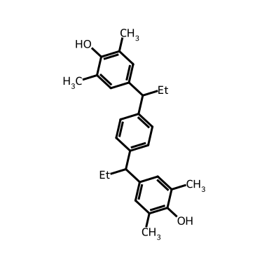 CCC(c1ccc(C(CC)c2cc(C)c(O)c(C)c2)cc1)c1cc(C)c(O)c(C)c1